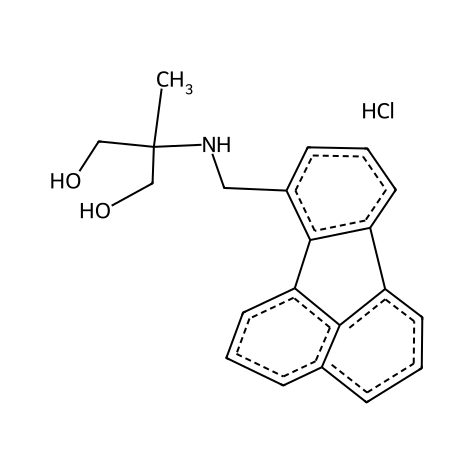 CC(CO)(CO)NCc1cccc2c1-c1cccc3cccc-2c13.Cl